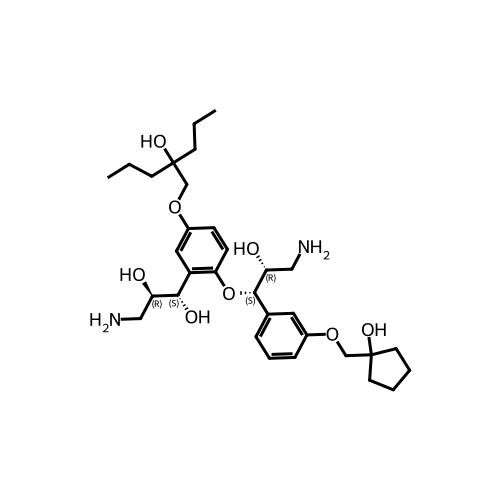 CCCC(O)(CCC)COc1ccc(O[C@@H](c2cccc(OCC3(O)CCCC3)c2)[C@H](O)CN)c([C@H](O)[C@H](O)CN)c1